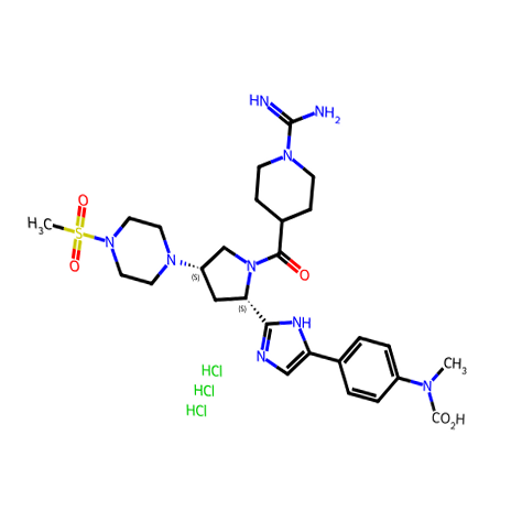 CN(C(=O)O)c1ccc(-c2cnc([C@@H]3C[C@H](N4CCN(S(C)(=O)=O)CC4)CN3C(=O)C3CCN(C(=N)N)CC3)[nH]2)cc1.Cl.Cl.Cl